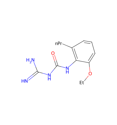 CCCc1cccc(OCC)c1NC(=O)NC(=N)N